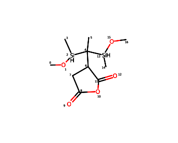 CO[SiH](C)C(C)(C1CC(=O)OC1=O)[SiH](C)OC